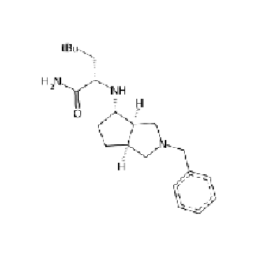 CC(C)(C)C[C@H](N[C@H]1CC[C@@H]2CN(Cc3ccccc3)C[C@@H]21)C(N)=O